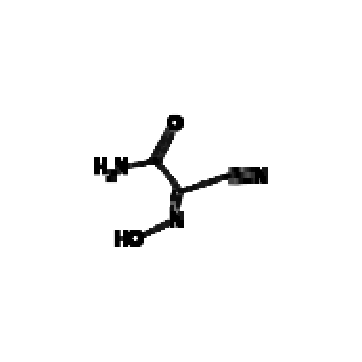 N#CC(=NO)C(N)=O